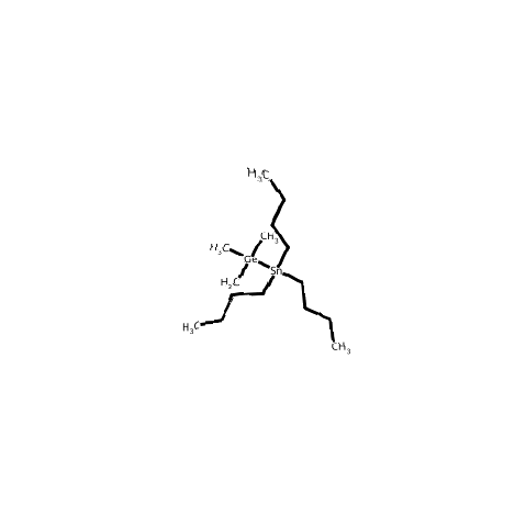 CCC[CH2][Sn]([CH2]CCC)([CH2]CCC)[Ge]([CH3])([CH3])[CH3]